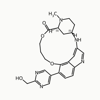 CN1CC[C@H]2C[C@H]1C(=O)OCCCOc1c(-c3cnc(CO)nc3)ccc3ncc(cc13)N2